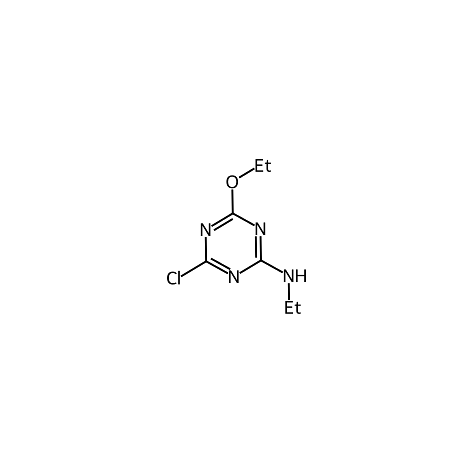 CCNc1nc(Cl)nc(OCC)n1